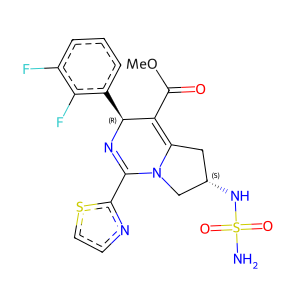 COC(=O)C1=C2C[C@H](NS(N)(=O)=O)CN2C(c2nccs2)=N[C@H]1c1cccc(F)c1F